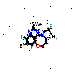 CSc1nc2c3c(c(Cl)c(Br)c(F)c3n1)OCC[C@@H](C)N2CC(F)F